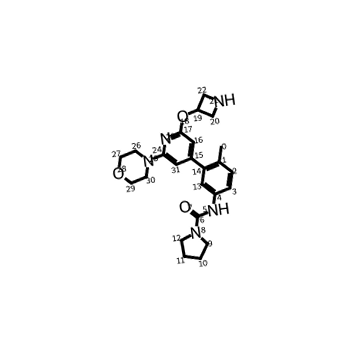 Cc1ccc(NC(=O)N2CCCC2)cc1-c1cc(OC2CNC2)nc(N2CCOCC2)c1